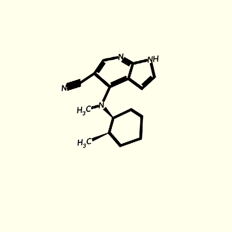 C[C@@H]1CCCC[C@@H]1N(C)c1c(C#N)cnc2[nH]ccc12